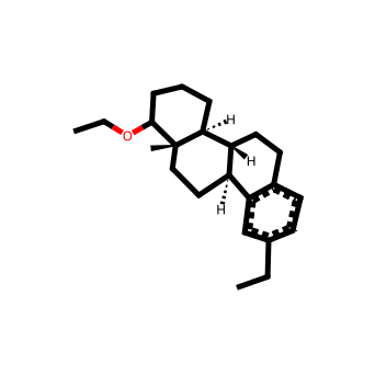 CCOC1CCC[C@H]2[C@@H]3CCc4c[c]c(CC)cc4[C@H]3CC[C@]12C